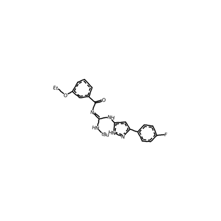 CCOc1cccc(C(=O)/N=C(\Nc2cc(-c3ccc(F)cc3)n[nH]2)NC(C)(C)C)c1